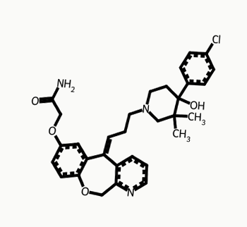 CC1(C)CN(CC/C=C2/c3cc(OCC(N)=O)ccc3OCc3ncccc32)CCC1(O)c1ccc(Cl)cc1